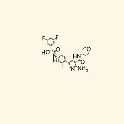 Cc1cc(NC(=O)C(O)c2cc(F)cc(F)c2)ccc1-c1cnc(N)c(C(=O)NC2CCOCC2)c1